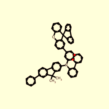 CC1(C)c2cc(-c3ccccc3)ccc2-c2ccc(N(c3cccc(-c4ccc5c(c4)C4(c6ccccc6O5)c5ccccc5-c5ccccc54)c3)c3ccccc3-c3ccccc3)cc21